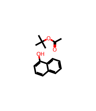 CC(=O)OC(C)(C)C.Oc1cccc2ccccc12